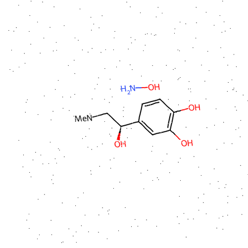 CNC[C@H](O)c1ccc(O)c(O)c1.NO